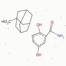 NC(=O)c1cc(O)ccc1O.O=C(O)C12CC3CC(CC(C3)C1)C2